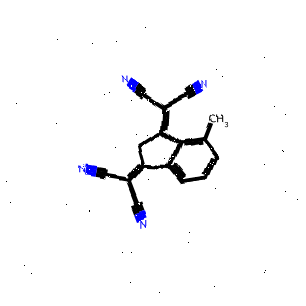 Cc1cccc2c1C(=C(C#N)C#N)CC2=C(C#N)C#N